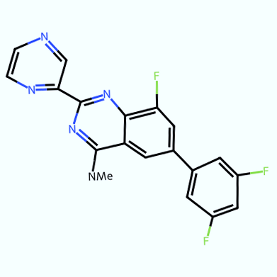 CNc1nc(-c2cnccn2)nc2c(F)cc(-c3cc(F)cc(F)c3)cc12